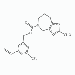 C=Cc1cc(COC(=O)N2CCCn3nc(C=O)cc3C2)cc(C(F)(F)F)c1